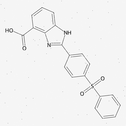 O=C(O)c1cccc2[nH]c(-c3ccc(S(=O)(=O)c4ccccc4)cc3)nc12